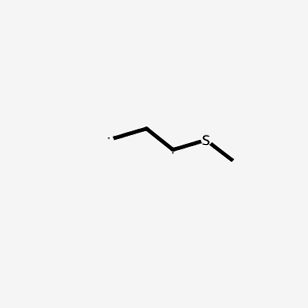 [CH2]C[CH]SC